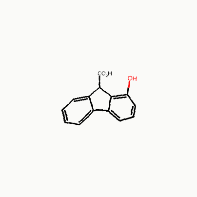 O=C(O)C1c2ccccc2-c2cccc(O)c21